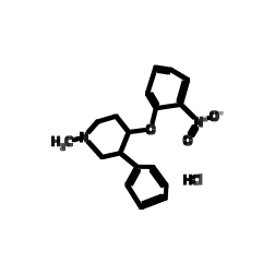 CN1CCC(Oc2ccccc2[N+](=O)[O-])C(c2ccccc2)C1.Cl